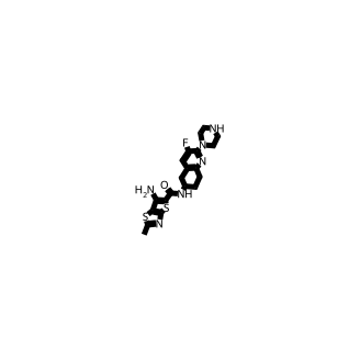 Cc1nc2sc(C(=O)NC3CCc4nc(N5CCNCC5)c(F)cc4C3)c(N)c2s1